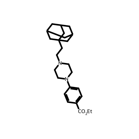 CCOC(=O)c1ccc(N2CCN(CCC34CC5CC(CC(C5)C3)C4)CC2)cc1